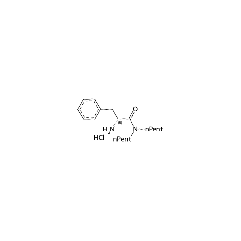 CCCCCN(CCCCC)C(=O)[C@H](N)Cc1ccccc1.Cl